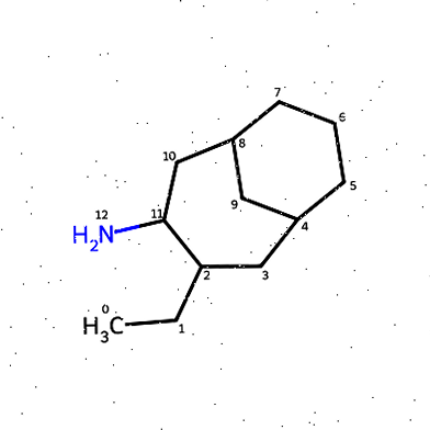 CCC1CC2CCCC(C2)CC1N